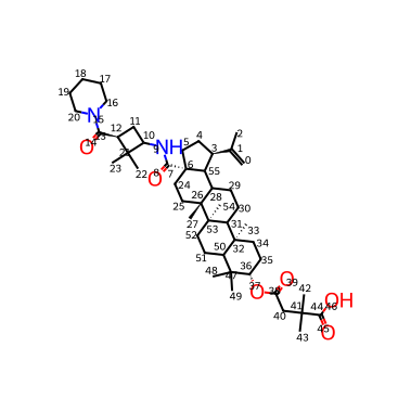 C=C(C)[C@@H]1CC[C@]2(C(=O)NC3C[C@H](C(=O)N4CCCCC4)C3(C)C)CC[C@]3(C)C(CCC4[C@@]5(C)CC[C@H](OC(=O)CC(C)(C)C(=O)O)C(C)(C)C5CC[C@]43C)C12